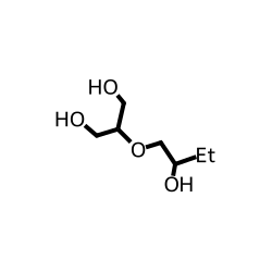 CCC(O)COC(CO)CO